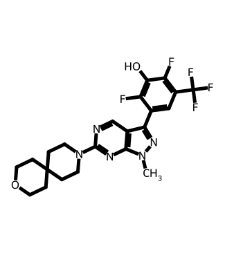 Cn1nc(-c2cc(C(F)(F)F)c(F)c(O)c2F)c2cnc(N3CCC4(CCOCC4)CC3)nc21